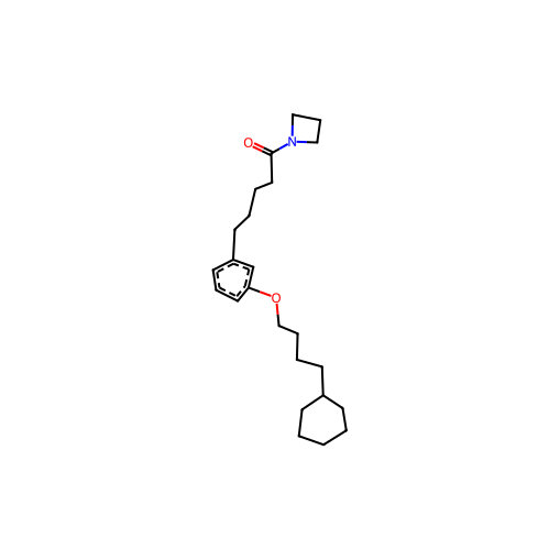 O=C(CCCCc1cccc(OCCCCC2CCCCC2)c1)N1CCC1